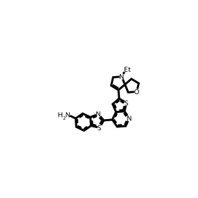 CCN1CC=C(c2cc3c(-c4nc5cc(N)ccc5s4)ccnc3s2)C12CCOC2